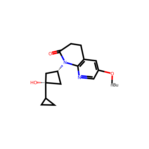 CCCCOc1cnc2c(c1)CCC(=O)N2[C@H]1C[C@](O)(C2CC2)C1